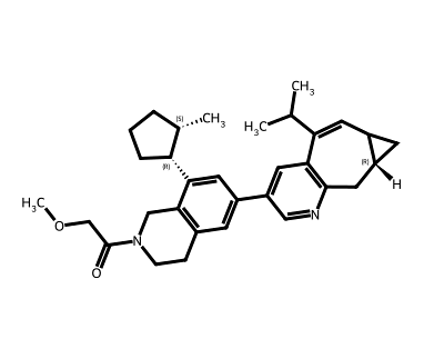 COCC(=O)N1CCc2cc(-c3cnc4c(c3)C(C(C)C)=CC3C[C@@H]3C4)cc([C@@H]3CCC[C@@H]3C)c2C1